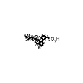 COc1ccc(CC(=O)O)cc1-c1ccc(F)c2c1CN(C(=O)OCc1csc(C)n1)CC2